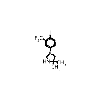 CC1(C)CN(c2ccc(I)c(C(F)(F)F)c2)CN1